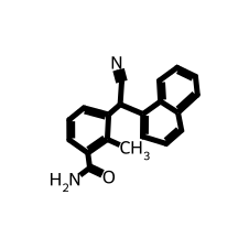 Cc1c(C(N)=O)cccc1C(C#N)c1cccc2ccccc12